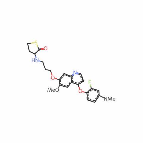 CNc1ccc(Oc2ccnc3cc(OCCCNC4CCSC4=O)c(OC)cc23)c(F)c1